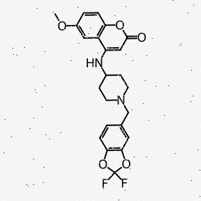 COc1ccc2oc(=O)cc(NC3CCN(Cc4ccc5c(c4)OC(F)(F)O5)CC3)c2c1